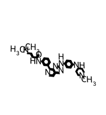 CN(C)CC=CC(=O)Nc1cccc(-c2nccc3cnc(Nc4ccc(NC5CCN(C)CC5)cc4)nc23)c1